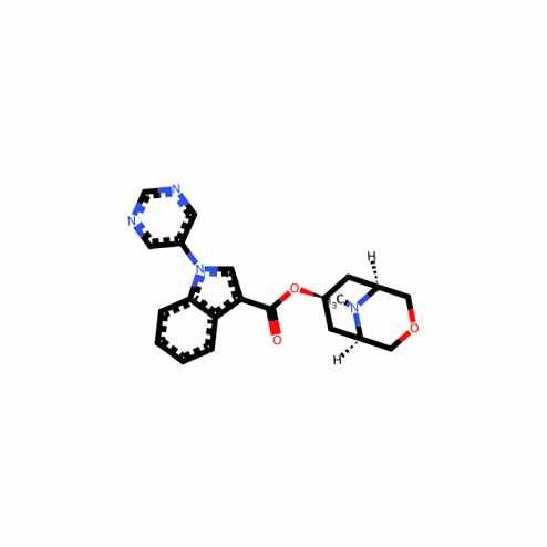 CN1[C@@H]2COC[C@H]1C[C@@H](OC(=O)c1cn(-c3cncnc3)c3ccccc13)C2